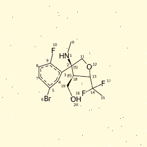 CN[C@@]1(c2cc(Br)ccc2F)COC(C(C)(F)F)[C@H]1CO